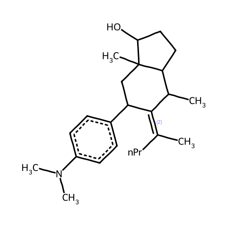 CCC/C(C)=C1\C(c2ccc(N(C)C)cc2)CC2(C)C(O)CCC2C1C